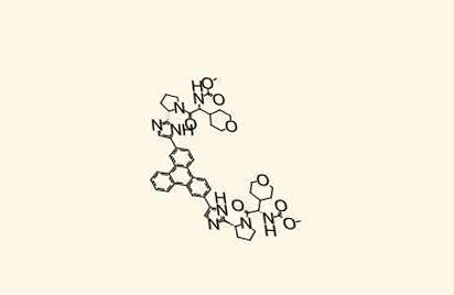 COC(=O)N[C@H](C(=O)N1CCC[C@H]1c1ncc(-c2ccc3c4ccc(-c5cnc([C@@H]6CCCN6C(=O)[C@@H](NC(=O)OC)C6CCOCC6)[nH]5)cc4c4ccccc4c3c2)[nH]1)C1CCOCC1